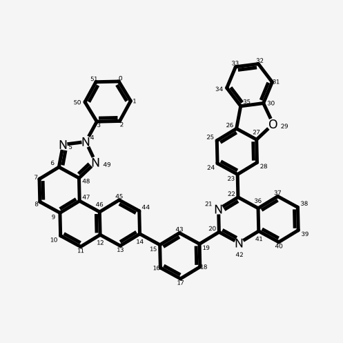 c1ccc(-n2nc3ccc4ccc5cc(-c6cccc(-c7nc(-c8ccc9c(c8)oc8ccccc89)c8ccccc8n7)c6)ccc5c4c3n2)cc1